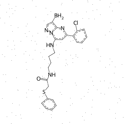 Bc1cnn2c(NCCCCNC(=O)CSc3ccccc3)cc(-c3ccccc3Cl)nc12